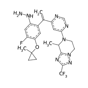 C=C(c1cc(N2CCn3nc(C(F)(F)F)nc3C2C)ncn1)c1cc(OC2(C)CC2)c(F)cc1NN